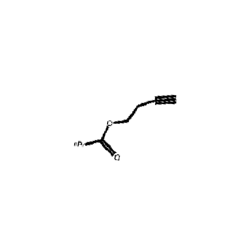 C#CCCOC(=O)CC[CH2]